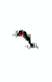 CC(C)(C)C#CCOc1cnc(C(=O)Nc2ccc(F)c([C@@]3(C)N=C(N)[C@@]4(CF)CC[C@@H]3S4(O)O)c2)cn1